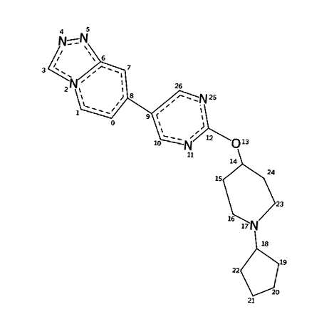 c1cn2cnnc2cc1-c1cnc(OC2CCN(C3CCCC3)CC2)nc1